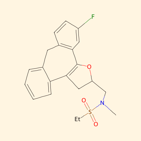 CCS(=O)(=O)N(C)CC1CC2=C(O1)c1cc(F)ccc1Cc1ccccc12